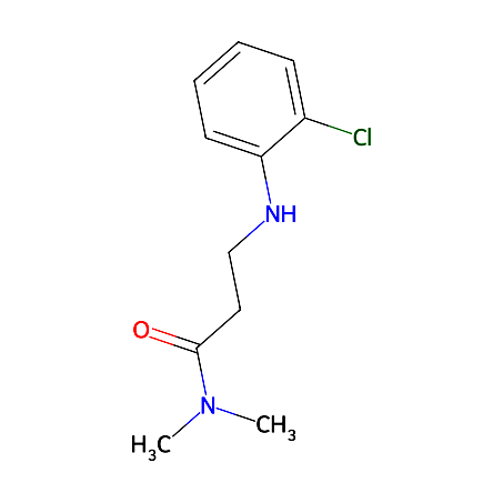 CN(C)C(=O)CCNc1ccccc1Cl